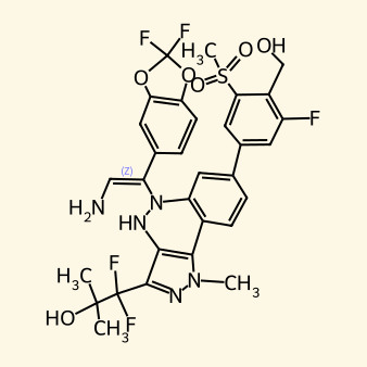 Cn1nc(C(F)(F)C(C)(C)O)c2c1-c1ccc(-c3cc(F)c(CO)c(S(C)(=O)=O)c3)cc1N(/C(=C\N)c1ccc3c(c1)OC(F)(F)O3)N2